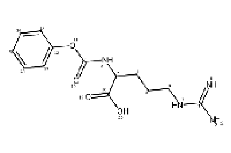 N=C(N)NCCCC(NC(=O)Oc1ccccc1)C(=O)O